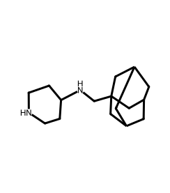 C1CC(NCC23CC4CC(CC(C4)C2)C3)CCN1